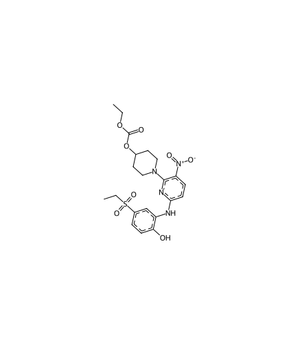 CCOC(=O)OC1CCN(c2nc(Nc3cc(S(=O)(=O)CC)ccc3O)ccc2[N+](=O)[O-])CC1